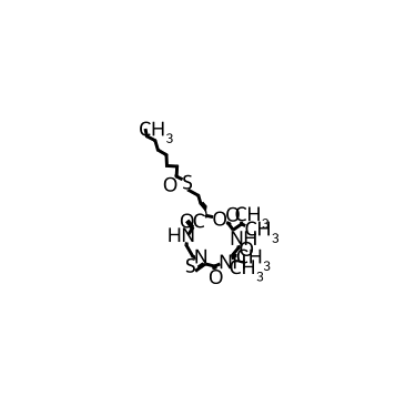 CCCCCCCC(=O)SCC/C=C/[C@@H]1CC(=O)NCc2nc(cs2)C(=O)NC(C)(C)C(=O)NC(C(C)C)C(=O)O1